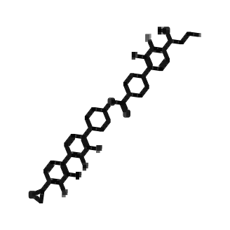 CCCC(O)c1ccc(C2CCC(C(=O)OC3CCC(c4ccc(-c5ccc(C6CO6)c(F)c5F)c(F)c4F)CC3)CC2)c(F)c1F